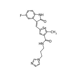 Cc1[se]c(/C=C2\C(=O)Nc3ccc(F)cc32)cc1C(=O)NCCCn1ccnc1